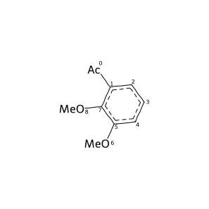 [CH2]C(=O)c1cccc(OC)c1OC